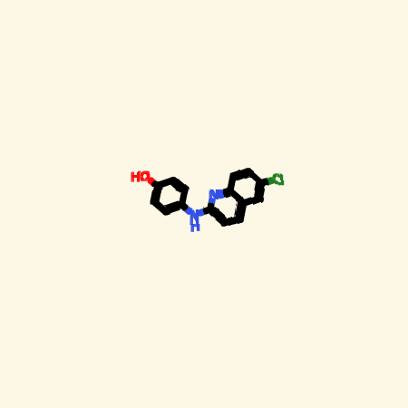 Oc1ccc(Nc2ccc3cc(Cl)ccc3n2)cc1